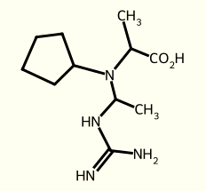 CC(NC(=N)N)N(C1CCCC1)C(C)C(=O)O